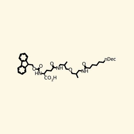 CCCCCCCCCCCCCCCC(=O)NCC(C)COCC(C)CNC(=O)CC[C@H](NC(=O)OCC1c2ccccc2-c2ccccc21)C(=O)O